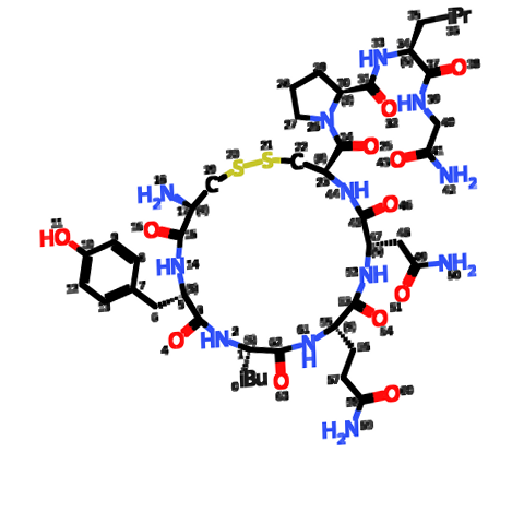 CCC(C)[C@@H]1NC(=O)[C@H](Cc2ccc(O)cc2)NC(=O)[C@@H](N)CSSC[C@@H](C(=O)N2CCC[C@H]2C(=O)N[C@@H](CC(C)C)C(=O)NCC(N)=O)NC(=O)[C@H](CC(N)=O)NC(=O)[C@H](CCC(N)=O)NC1=O